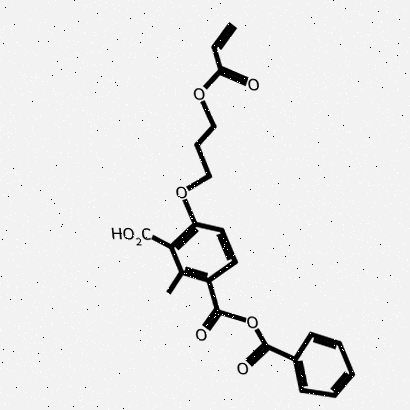 C=CC(=O)OCCCOc1ccc(C(=O)OC(=O)c2ccccc2)c(C)c1C(=O)O